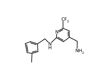 Cc1cccc(CNc2cc(CN)cc(C(F)(F)F)n2)c1